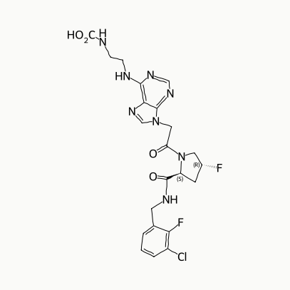 O=C(O)NCCNc1ncnc2c1ncn2CC(=O)N1C[C@H](F)C[C@H]1C(=O)NCc1cccc(Cl)c1F